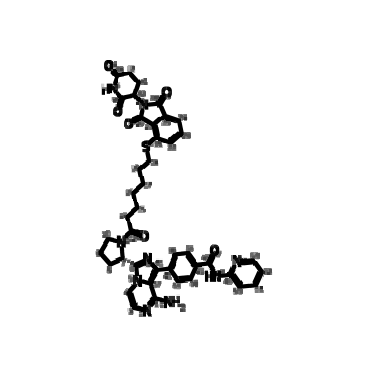 Nc1nccn2c([C@@H]3CCCN3C(=O)CCCCCCSc3cccc4c3C(=O)N(C3CCC(=O)NC3=O)C4=O)nc(-c3ccc(C(=O)Nc4ccccn4)cc3)c12